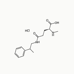 CN[C@@H](CCC(=O)NCC(C)c1ccccc1)C(=O)O.Cl